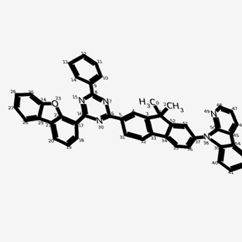 CC1(C)c2cc(-c3nc(-c4ccccc4)nc(-c4cccc5c4oc4ccccc45)n3)ccc2-c2ccc(-n3c4ccccc4c4cccnc43)cc21